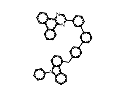 c1ccc(-n2c3ccccc3c3c(Cc4ccc(-c5cccc(-c6cccc(-c7cnc8c9ccccc9c9ccccc9c8n7)c6)c5)cc4)cccc32)cc1